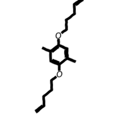 C=CCCCOc1cc(C)c(OCCCC=C)cc1C